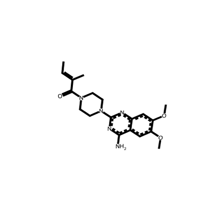 C/C=C(\C)C(=O)N1CCN(c2nc(N)c3cc(OC)c(OC)cc3n2)CC1